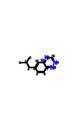 CC(C)Cc1ccc2nncnc2c1